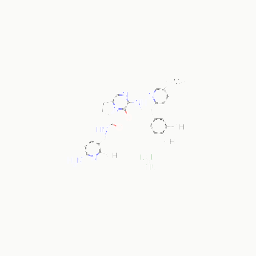 COc1ccc([C@@H](CNc2ncc3n(c2=O)[C@H](C(=O)NCc2ccc(N)nc2C)CC3)c2ccc(C)c(C)c2)nc1.Cl.Cl.Cl